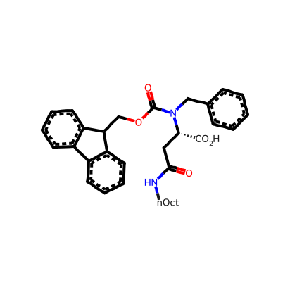 CCCCCCCCNC(=O)C[C@@H](C(=O)O)N(Cc1ccccc1)C(=O)OCC1c2ccccc2-c2ccccc21